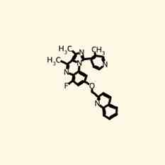 Cc1cnccc1-c1nc(C)c2c(C)nc3c(F)cc(OCc4ccc5ccccc5n4)cc3n12